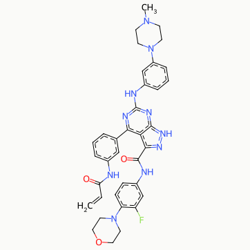 C=CC(=O)Nc1cccc(-c2nc(Nc3cccc(N4CCN(C)CC4)c3)nc3[nH]nc(C(=O)Nc4ccc(N5CCOCC5)c(F)c4)c23)c1